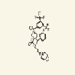 O=C1OC2(CCN(C(=O)c3cc(C(F)(F)F)cc(C(F)(F)F)c3)CC2)C(c2ccccc2)CN1CCCN1CCOCC1